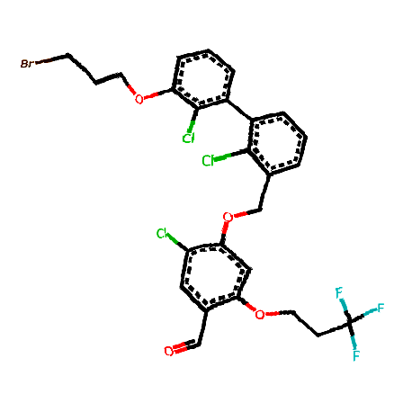 O=Cc1cc(Cl)c(OCc2cccc(-c3cccc(OCCCBr)c3Cl)c2Cl)cc1OCCC(F)(F)F